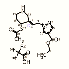 CCOC(=O)c1cnn(C/C=C2\CNCCC2SC(C)=O)c1.O=C(O)C(F)(F)F